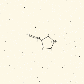 C1CCNC1.N=S